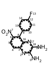 Nc1nc2ccc([N+](=O)[O-])c(-c3ccc(F)cc3)c2nc1N